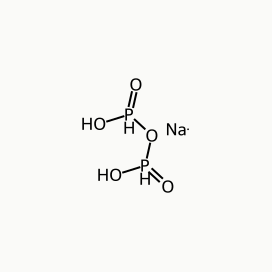 O=[PH](O)O[PH](=O)O.[Na]